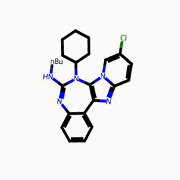 CCCCNC1=Nc2ccccc2-c2nc3ccc(Cl)cn3c2N1C1CCCCC1